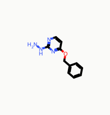 NNc1nccc(OCc2ccccc2)n1